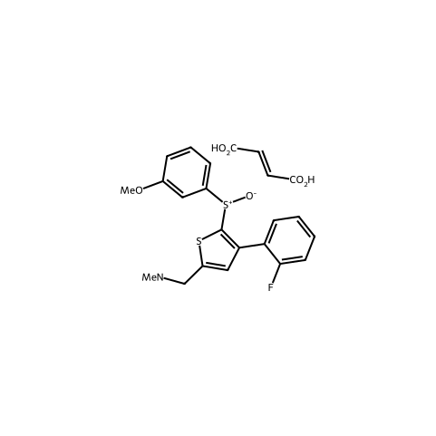 CNCc1cc(-c2ccccc2F)c([S+]([O-])c2cccc(OC)c2)s1.O=C(O)C=CC(=O)O